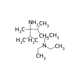 CC(C)C(C)(N)C(C)C.CCN(CC)CC